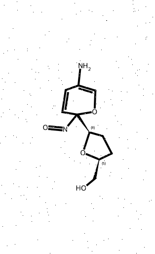 NC1=COC(N=O)([C@H]2CC[C@@H](CO)O2)C=C1